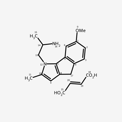 COc1ccc2c(c1)-c1c(cc(C)n1CC(C)N)C2.O=C(O)/C=C/C(=O)O